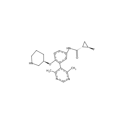 Cc1ncnc(C)c1-c1cc(NC(=O)[C@@H]2C[C@H]2F)ccc1O[C@@H]1CCCNC1